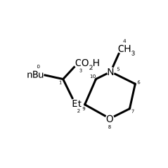 CCCCC(CC)C(=O)O.CN1CCOCC1